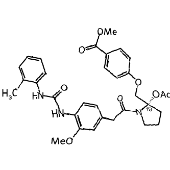 COC(=O)c1ccc(OC[C@@]2(OC(C)=O)CCCN2C(=O)Cc2ccc(NC(=O)Nc3ccccc3C)c(OC)c2)cc1